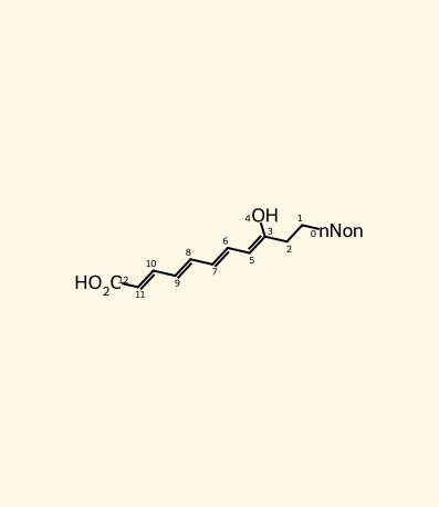 CCCCCCCCCCC/C(O)=C/C=C/C=C/C=C/C(=O)O